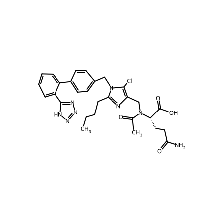 CCCCc1nc(CN(C(C)=O)[C@@H](CCC(N)=O)C(=O)O)c(Cl)n1Cc1ccc(-c2ccccc2-c2nnn[nH]2)cc1